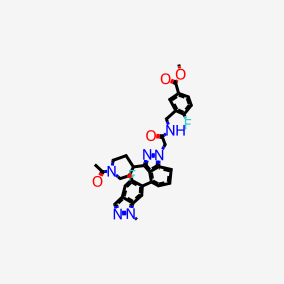 COC(=O)c1ccc(F)c(CNC(=O)Cn2nc(C3CCN(C(C)=O)CC3)c3c(-c4cc5c(cnn5C)cc4F)cccc32)c1